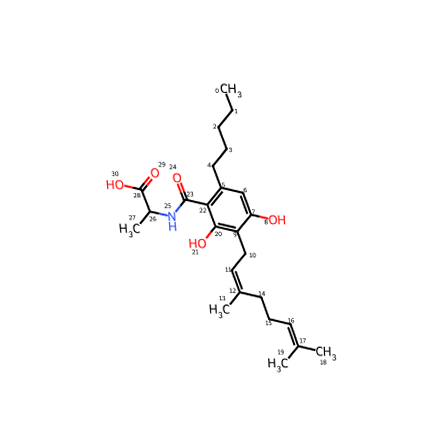 CCCCCc1cc(O)c(CC=C(C)CCC=C(C)C)c(O)c1C(=O)NC(C)C(=O)O